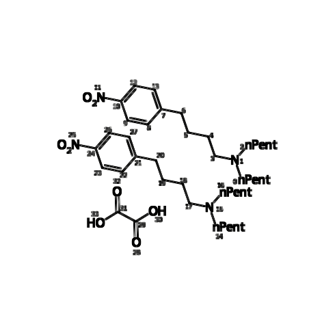 CCCCCN(CCCCC)CCCCc1ccc([N+](=O)[O-])cc1.CCCCCN(CCCCC)CCCCc1ccc([N+](=O)[O-])cc1.O=C(O)C(=O)O